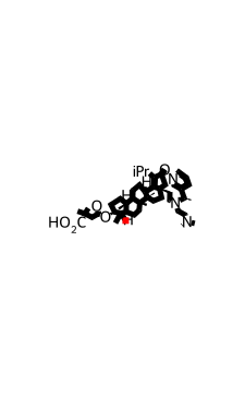 CC(C)C1=C2[C@H]3CC[C@@H]4[C@@]5(C)CC[C@H](OC(=O)CC(C)(C)C(=O)O)C(C)(C)[C@@H]5CC[C@@]4(C)[C@]3(C)CC[C@@]2(CCN(CCN(C)C)[C@@H](C)c2cccnc2)CC1=O